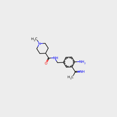 CC(=N)c1cc(CNC(=O)C2CCN(C)CC2)ccc1N